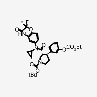 CCOC(=O)Oc1cccc([C@H]2CCN(C(=O)OC(C)(C)C)C[C@@H]2C(=O)N(c2ccc3c(c2)NC(=O)C(F)(F)O3)C2CC2)c1